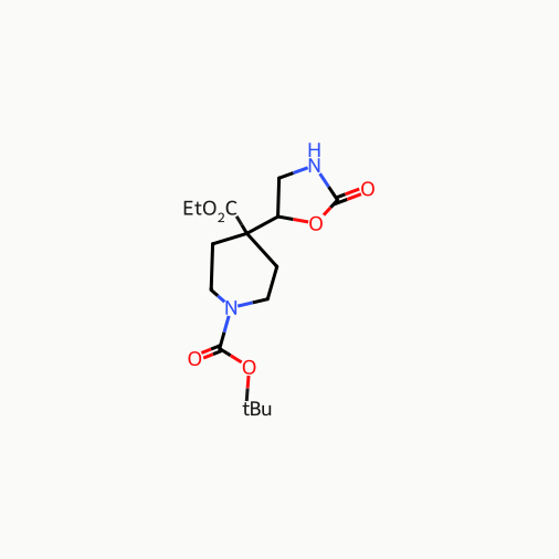 CCOC(=O)C1(C2CNC(=O)O2)CCN(C(=O)OC(C)(C)C)CC1